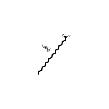 CCCCCCCCCCCCCCCCCC(=O)[O-].[Ag+].[Ag+].[Ag+].[Br-].[I-]